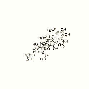 CC(=O)N[C@@H]1[C@H](O[C@H]2[C@@H](O)[C@@H](CO)O[C@@H](O[C@@H]3[C@H](O)[C@@H](O)[C@@H](OCC[Si](C)(C)C)O[C@@H]3CO)[C@@H]2O)O[C@H](CO)[C@H](O)[C@@H]1O